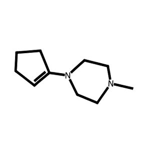 CN1CCN(C2=CCCC2)CC1